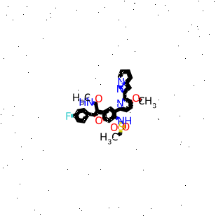 CCS(=O)(=O)Nc1cc2oc(-c3ccc(F)cc3)c(C(=O)NC)c2cc1-c1ccc(OC)c(-c2cc3ccccn3n2)n1